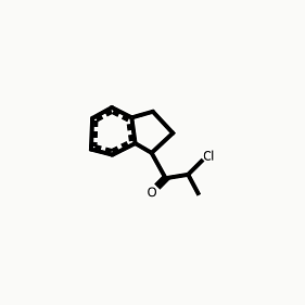 CC(Cl)C(=O)C1CCc2ccccc21